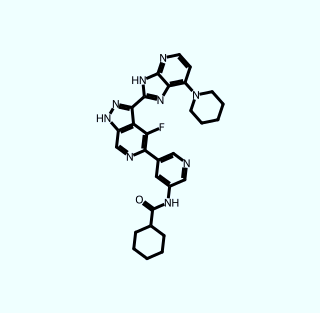 O=C(Nc1cncc(-c2ncc3[nH]nc(-c4nc5c(N6CCCCC6)ccnc5[nH]4)c3c2F)c1)C1CCCCC1